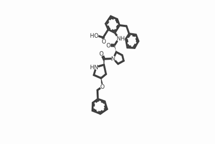 O=C(O)c1cccc(Cc2ccccc2)c1NC(=O)[C@@H]1CCCN1C(=O)[C@H]1C[C@@H](OCc2ccccc2)CN1